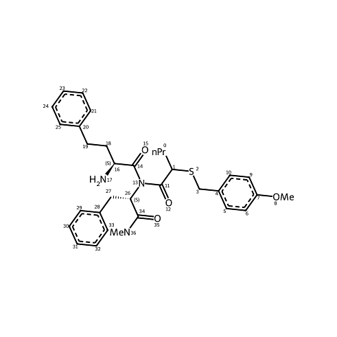 CCCC(SCc1ccc(OC)cc1)C(=O)N(C(=O)[C@@H](N)CCc1ccccc1)[C@@H](Cc1ccccc1)C(=O)NC